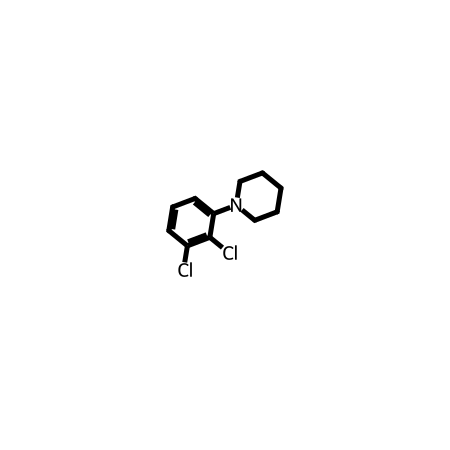 Clc1cccc(N2CCCCC2)c1Cl